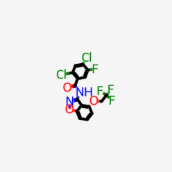 O=C(Nc1noc2cccc(OCC(F)(F)F)c12)c1cc(F)c(Cl)cc1Cl